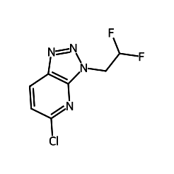 FC(F)Cn1nnc2ccc(Cl)nc21